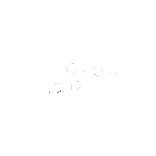 COc1ccc(CN(Cc2ccc(OC)cc2)c2ccc(C(F)(F)F)c(C3CC4=C(CC3C)C(O)NC=N4)n2)cc1